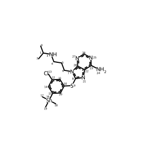 CC(C)NCCCn1c(Sc2cc(Cl)c[c]([Sn]([CH3])([CH3])[CH3])c2)nc2c(N)ncnc21